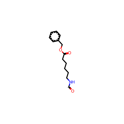 O=[C]NCCCCCC(=O)OCc1ccccc1